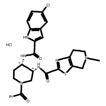 CC(C)C(=O)N1CC[C@H](NC(=O)c2cc3cc(Cl)ccc3[nH]2)[C@H](NC(=O)c2nc3c(s2)CN(C)CC3)C1.Cl